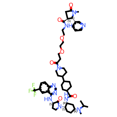 CC(C)N(C)[C@@H]1CC[C@H](N2CC[C@H](Nc3ncnc4ccc(C(F)(F)F)cc34)C2=O)[C@H](NC(=O)C2CCC(C3CCN(C(=O)CCOCCOCCNC(=O)[C@H]4CC(=O)N(C)[C@@H]4c4cccnc4)CC3)CC2)C1